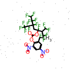 CCc1cc([N+](=O)[O-])cc([N+](=O)[O-])c1OC(=O)OC(F)(CC(F)(C(F)(F)C(F)F)C(F)(F)C(F)(F)F)C(C(F)F)C(F)(F)F